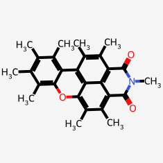 Cc1c(C)c(C)c2c(oc3c(C)c(C)c4c(=O)n(C)c(=O)c5c(C)c(C)c2c3c45)c1C